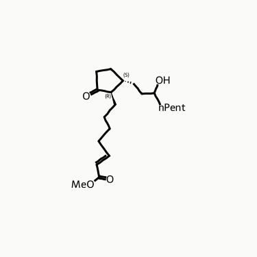 CCCCCC(O)CC[C@H]1CCC(=O)[C@@H]1CCCCC=CC(=O)OC